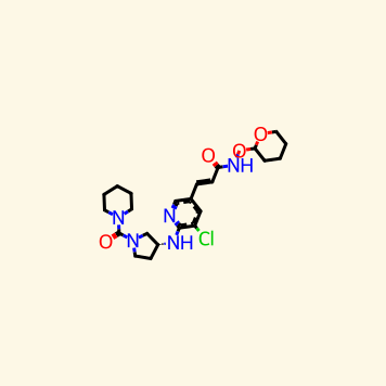 O=C(C=Cc1cnc(N[C@@H]2CCN(C(=O)N3CCCCC3)C2)c(Cl)c1)NOC1CCCCO1